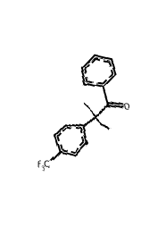 CC(C)(C(=O)c1ccccc1)c1ccc(C(F)(F)F)cc1